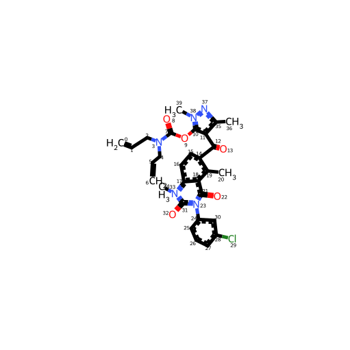 C=CCN(CC=C)C(=O)Oc1c(C(=O)c2ccc3c(c2C)c(=O)n(-c2cccc(Cl)c2)c(=O)n3C)c(C)nn1C